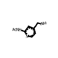 CC(=O)Nc1cc(C[NH])ccn1